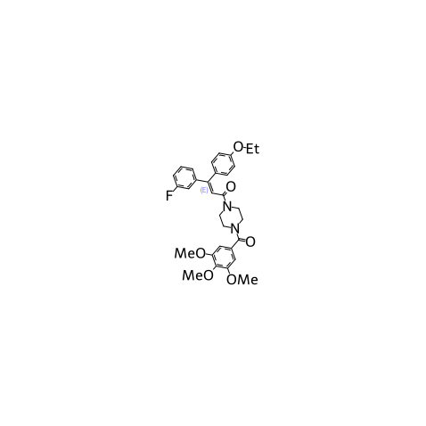 CCOc1ccc(/C(=C\C(=O)N2CCN(C(=O)c3cc(OC)c(OC)c(OC)c3)CC2)c2cccc(F)c2)cc1